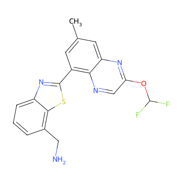 Cc1cc(-c2nc3cccc(CN)c3s2)c2ncc(OC(F)F)nc2c1